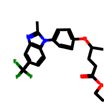 CCOC(=O)CCC(C)Oc1ccc(-n2c(C)nc3cc(C(F)(F)F)ccc32)cc1